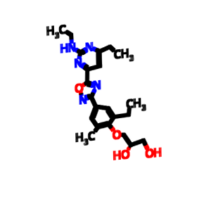 CCNc1nc(CC)cc(-c2nc(-c3cc(C)c(OC[C@H](O)CO)c(CC)c3)no2)n1